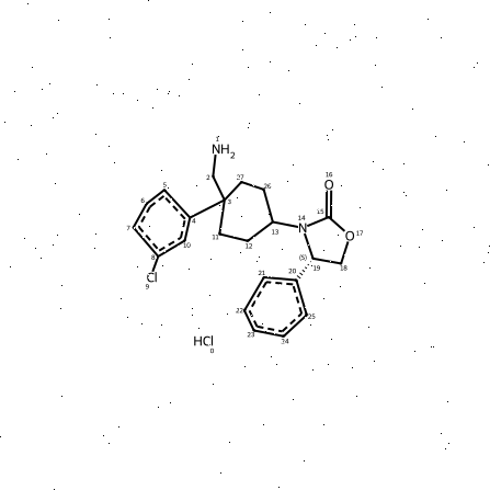 Cl.NCC1(c2cccc(Cl)c2)CCC(N2C(=O)OC[C@@H]2c2ccccc2)CC1